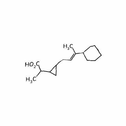 CC(=CCC1CC1C(C)C(=O)O)C1CCCCC1